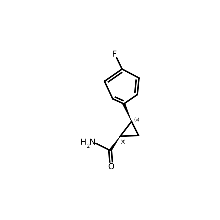 NC(=O)[C@@H]1C[C@@H]1c1ccc(F)cc1